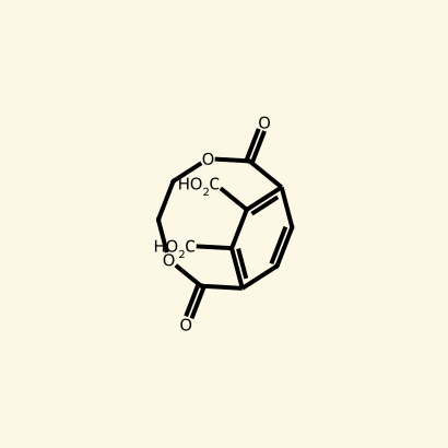 O=C1OCCOC(=O)c2ccc1c(C(=O)O)c2C(=O)O